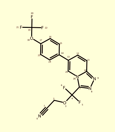 N#CCOC(F)(F)c1nnc2ccc(-c3ccc(OC(F)(F)F)cc3)cn12